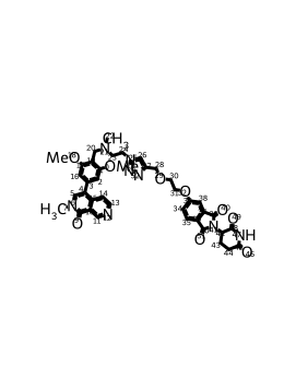 COc1cc(-c2cn(C)c(=O)c3cnccc23)cc(OC)c1CN(C)CCn1cc(COCCOc2ccc3c(c2)C(=O)N(C2CCC(=O)NC2=O)C3=O)nn1